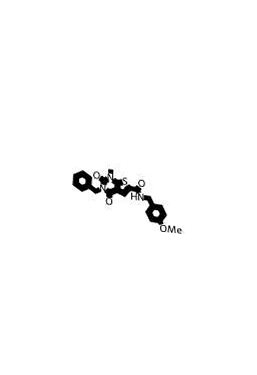 COc1ccc(CNC(=O)c2cc3c(=O)n(Cc4ccccc4)c(=O)n(C)c3s2)cc1